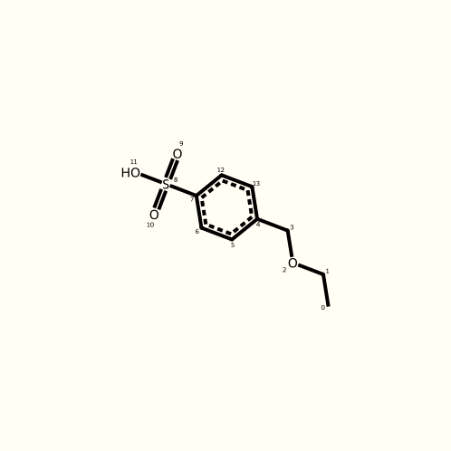 CCOCc1ccc(S(=O)(=O)O)cc1